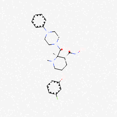 C[C@@]1(C(=O)N2CCN(c3ccccc3)CC2)[C@@H](C(=O)NO)C[C@H](Oc2cccc(F)c2)CN1C(=O)O